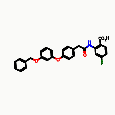 O=C(Cc1ccc(Oc2cccc(OCc3ccccc3)c2)cc1)Nc1cc(F)ccc1C(=O)O